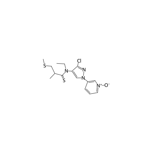 CCN(C(=S)C(C)CSC)c1cn(-c2ccc[n+]([O-])c2)nc1Cl